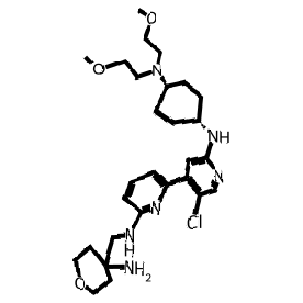 COCCN(CCOC)[C@H]1CC[C@H](Nc2cc(-c3cccc(NCC4(N)CCOCC4)n3)c(Cl)cn2)CC1